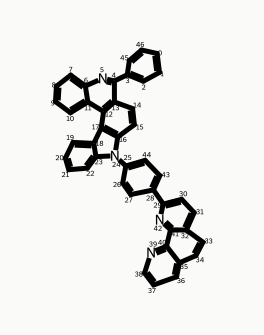 c1ccc(-c2nc3ccccc3c3c2ccc2c3c3ccccc3n2-c2ccc(-c3ccc4ccc5cccnc5c4n3)cc2)cc1